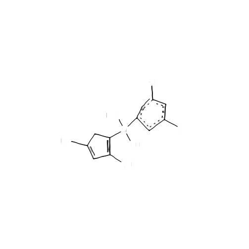 CC1=CC(C)=C([Si](C)(C)c2cc(C)cc(C)c2)C1